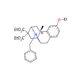 CCOC(=O)C1(C(=O)OCC)CC2C3Cc4ccc(OCC)cc4[C@@]2(C)CC1N3Cc1ccccc1